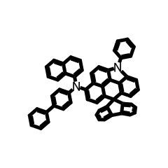 c1ccc(-c2ccc(N(c3cccc4ccccc34)c3ccc4c5c3ccc3c5c5c(cccc5n3-c3ccccc3)C43c4ccccc4-c4ccccc43)cc2)cc1